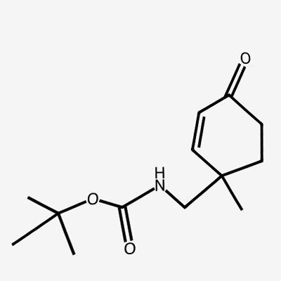 CC1(CNC(=O)OC(C)(C)C)C=CC(=O)CC1